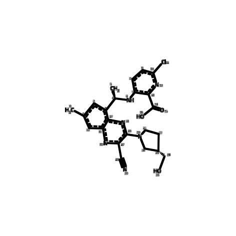 Cc1cc([C@@H](C)Nc2ccc(Cl)nc2C(=O)O)c2nc(N3CC[C@H](CO)C3)c(C#N)nc2c1